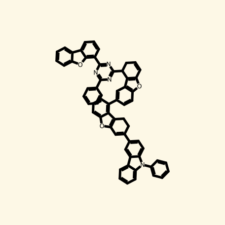 C1=Cc2oc3ccc(-c4cccc5oc6c(c45)CCC(c4ccc5c(c4)c4ccccc4n5-c4ccccc4)=C6)cc3c2C(c2nc(-c3ccccc3)nc(-c3cccc4c3oc3ccccc34)n2)C1